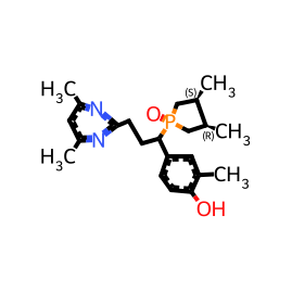 Cc1cc(C)nc(CCC(c2ccc(O)c(C)c2)P2(=O)C[C@@H](C)[C@@H](C)C2)n1